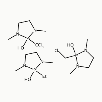 CC[P]1(O)N(C)CCN1C.CN1CCN(C)[P]1(O)C(Cl)(Cl)Cl.CN1CCN(C)[P]1(O)CCl